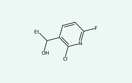 CCC(O)c1ccc(F)nc1Cl